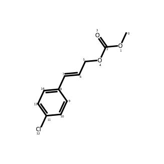 COC(=O)OC/C=C/c1ccc(Cl)cc1